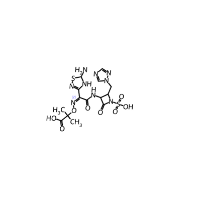 CC(C)(O/N=C(\C(=O)NC1C(=O)N(S(=O)(=O)O)C1Cn1cncn1)C1=NSC(N)N1)C(=O)O